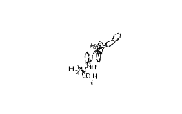 N[C@@H](CCNC(=O)CCC(=O)NS(=O)(=O)c1ccc2ccccc2c1)C(=O)O